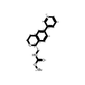 CC(C)(C)OC(=O)NC[C@@H]1OCCc2cc(-c3cccnc3)ccc21